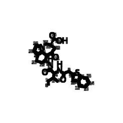 CCC(C)C(NC(=O)Cc1cc2ccccc2s1)C(=O)N[C@H]1CCc2ccn3c2C1C(=O)C[C@H](C(=O)O)C3